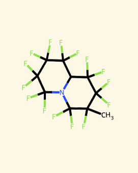 CC1(F)C(F)(F)N2C(C(F)(F)C1(F)F)C(F)(F)C(F)(F)C(F)(F)C2(F)F